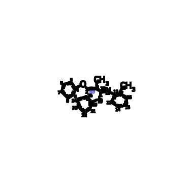 CC(=C\Oc1ccccc1)/C(=N/c1ccccc1C)Sc1ccccc1